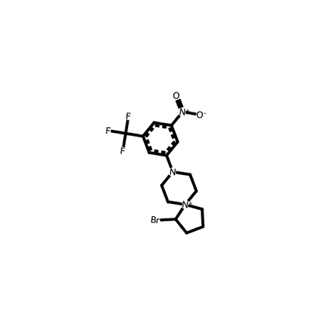 O=[N+]([O-])c1cc(N2CC[N+]3(CCCC3Br)CC2)cc(C(F)(F)F)c1